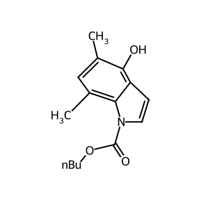 CCCCOC(=O)n1ccc2c(O)c(C)cc(C)c21